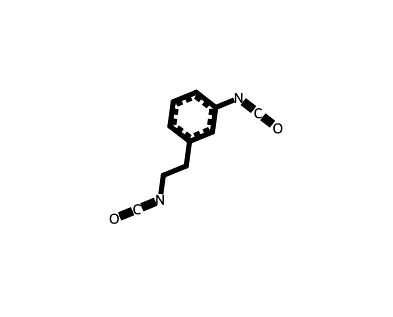 O=C=NCCc1cccc(N=C=O)c1